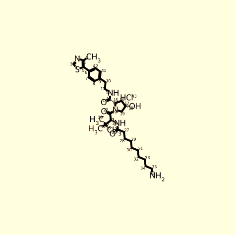 Cc1ncsc1-c1ccc(CCNC(=O)[C@@H]2C[C@H](O)CN2C(=O)[C@@H](NC(=O)CCCCCCCCCN)C(C)(C)C)cc1.Cl